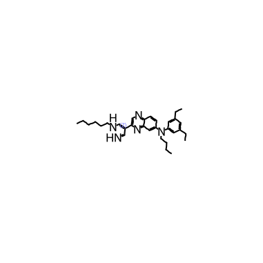 CCCCCCN/C=C(\C=N)c1cnc2ccc(N(CCCC)c3cc(CC)cc(CC)c3)cc2n1